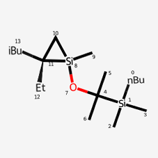 CCCC[Si](C)(C)C(C)(C)O[Si]1(C)C[C@@]1(CC)C(C)CC